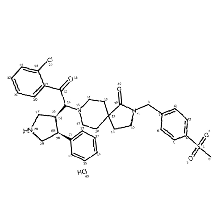 CS(=O)(=O)c1ccc(CN2CCC3(CCN(C(C(=O)c4ccccc4Cl)[C@@H]4CNC[C@@H]4c4ccccc4)CC3)C2=O)cc1.Cl